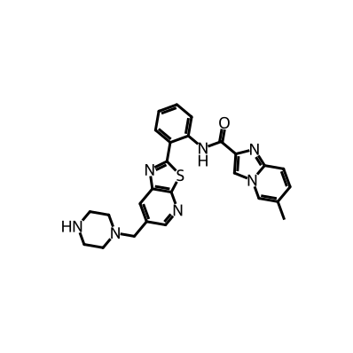 Cc1ccc2nc(C(=O)Nc3ccccc3-c3nc4cc(CN5CCNCC5)cnc4s3)cn2c1